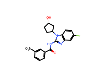 O=C(Nc1nc2cc(F)ccc2n1C1CC[C@H](O)C1)c1cccc([N+](=O)[O-])c1